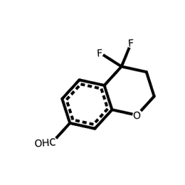 O=Cc1ccc2c(c1)OCCC2(F)F